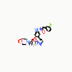 Cn1nccc1-c1cc(NC(=O)Cc2cccc(F)c2)ccc1OCCN1CCOCC1